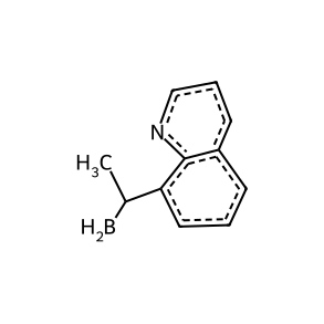 BC(C)c1cccc2cccnc12